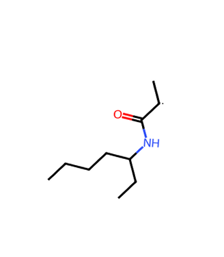 C[CH]C(=O)NC(CC)CCCC